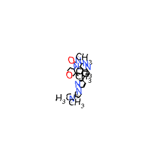 CN(C)[C@@H]1CCN(c2ccc(-c3ccc4nnc5c(c4c3)n(C3CCOCC3(C)C)c(=O)n5C)cn2)C1